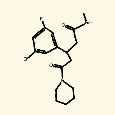 CNC(=O)CC(CC(=O)N1CCCCC1)c1cc(F)cc(Cl)c1